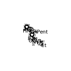 CCCC(C)Oc1cc(-n2nc(C(C)OC(C)OCC)n(C)c2=O)c(F)cc1C(=O)Nc1c(C)cccc1C